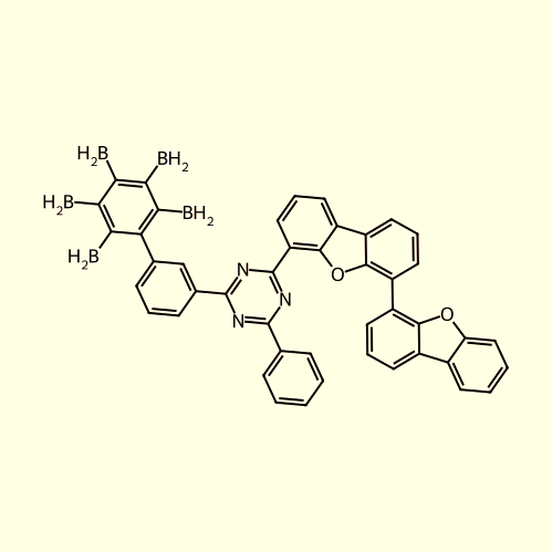 Bc1c(B)c(B)c(-c2cccc(-c3nc(-c4ccccc4)nc(-c4cccc5c4oc4c(-c6cccc7c6oc6ccccc67)cccc45)n3)c2)c(B)c1B